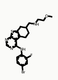 COCCNCC1CCc2c(sc3ncnc(Nc4ccc(Br)cc4F)c23)C1